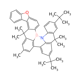 Cc1cc2c3c(c1)C(C)(C)c1c(ccc4oc5ccccc5c14)B3N1c3ccc(C(C)(C)C)cc3C(C)(C)c3cc(C(C)(C)C)cc-2c31